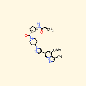 C=CC(=O)N[C@H]1CC[C@@H](C(=O)N2CCC(n3cc(-c4cc(OC)c5c(C#N)cnn5c4)cn3)CC2)C1